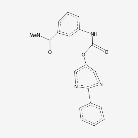 CNC(=O)c1cccc(NC(=O)Oc2cnc(-c3ccccc3)nc2)c1